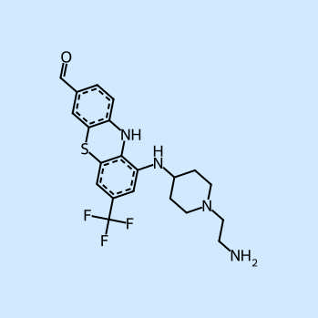 NCCN1CCC(Nc2cc(C(F)(F)F)cc3c2Nc2ccc(C=O)cc2S3)CC1